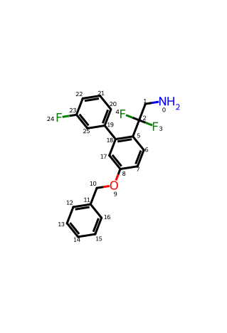 NCC(F)(F)c1ccc(OCc2ccccc2)cc1-c1cccc(F)c1